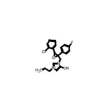 C=CC[n+]1cc(C#N)n(CC2(c3ccc(F)cc3)OC2c2ccccc2Cl)c1